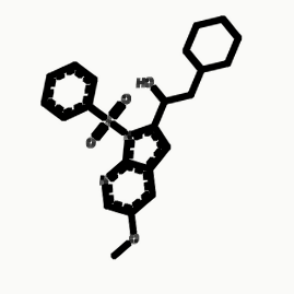 COc1cnc2c(c1)cc(C(O)CC1CCCCC1)n2S(=O)(=O)c1ccccc1